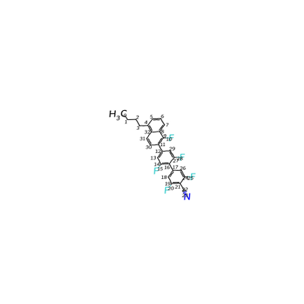 CCCCc1cccc2c(F)c(-c3cc(F)c(-c4cc(F)c(C#N)c(F)c4)c(F)c3)ccc12